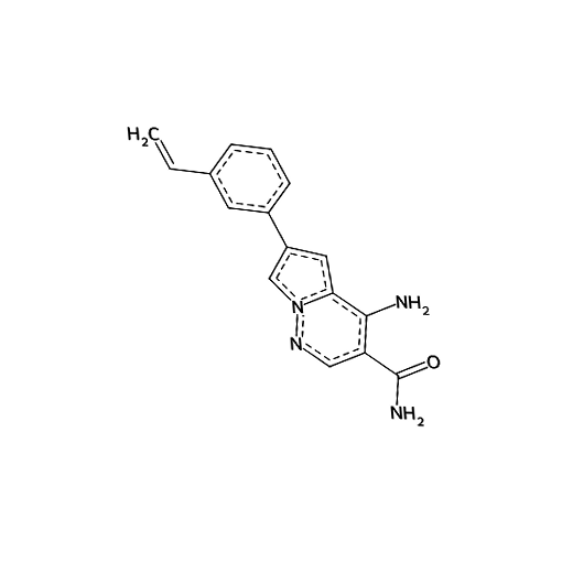 C=Cc1cccc(-c2cc3c(N)c(C(N)=O)cnn3c2)c1